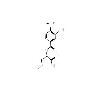 CCCC(NC(=O)c1ccc([N+](=O)[O-])c(O)c1)C(N)=O